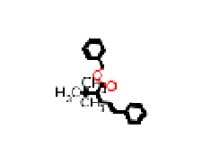 CC(C)(C)C(=CC=Cc1ccccc1)C(=O)OCc1ccccc1